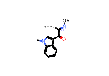 CCCCCC/C(=N\OC(C)=O)C(=O)c1cn(C)c2ccccc12